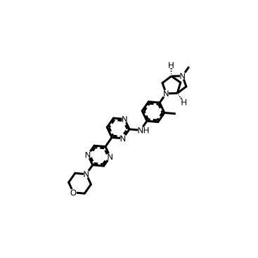 Cc1cc(Nc2nccc(-c3cnc(N4CCOCC4)cn3)n2)ccc1N1C[C@@H]2C[C@H]1CN2C